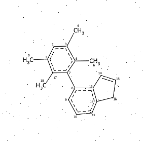 Cc1cc(C)c(C)c(-c2cccc3c2C=C[CH]3)c1C